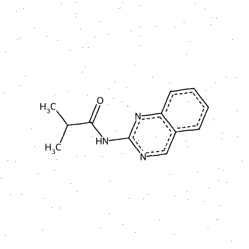 CC(C)C(=O)Nc1ncc2ccccc2n1